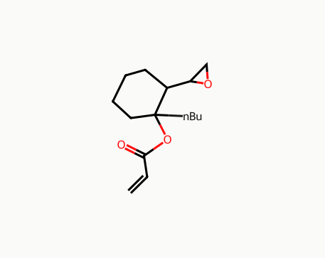 C=CC(=O)OC1(CCCC)CCCCC1C1CO1